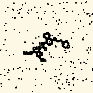 COC(=O)c1cc(C(C)(C)C)sc1NC(=O)Nc1ccc(OCCN2CCOCC2)c2ccccc12